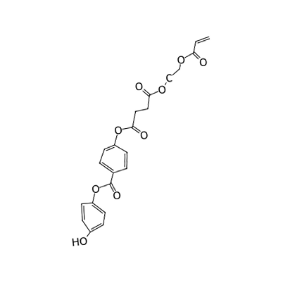 C=CC(=O)OCCOC(=O)CCC(=O)Oc1ccc(C(=O)Oc2ccc(O)cc2)cc1